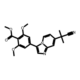 COC(=O)c1c(OC)cc(-c2cnc3cc(C(C)(C)C#N)ccn23)cc1OC